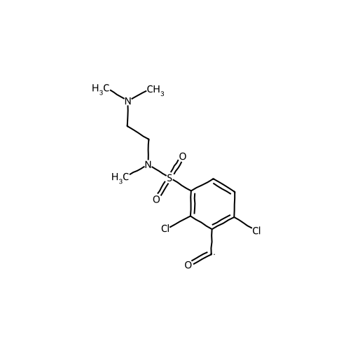 CN(C)CCN(C)S(=O)(=O)c1ccc(Cl)c([C]=O)c1Cl